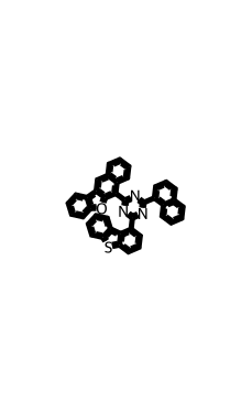 c1ccc2c(-c3nc(-c4c5ccccc5cc5c4oc4ccccc45)nc(-c4cccc5sc6ccccc6c45)n3)cccc2c1